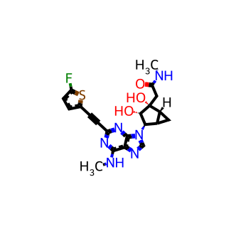 CNC(=O)C[C@@]1(O)[C@@H]2CC2[C@@H](n2cnc3c(NC)nc(C#Cc4ccc(F)s4)nc32)[C@@H]1O